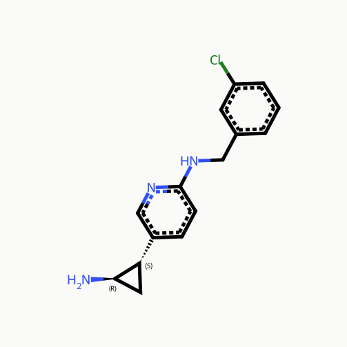 N[C@@H]1C[C@H]1c1ccc(NCc2cccc(Cl)c2)nc1